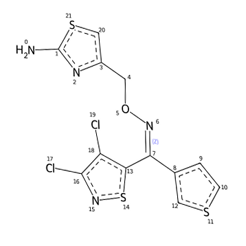 Nc1nc(CO/N=C(/c2ccsc2)c2snc(Cl)c2Cl)cs1